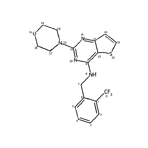 FC(F)(F)c1ccccc1CNc1nc(N2CCOCC2)nc2ccsc12